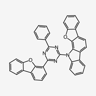 c1ccc(-c2nc(-c3cccc4c3oc3ccccc34)nc(-n3c4ccccc4c4ccc5c6ccccc6oc5c43)n2)cc1